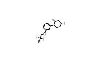 CC1CNCCC1c1cccc(OCC(F)(F)F)c1